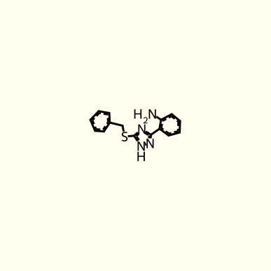 Nc1ccccc1-c1n[nH]c(SCc2ccccc2)n1